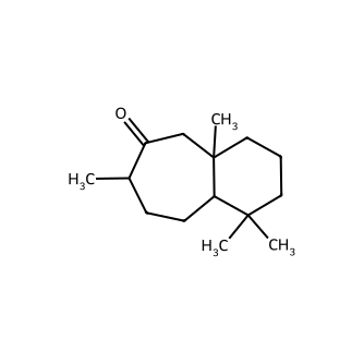 CC1CCC2C(C)(C)CCCC2(C)CC1=O